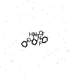 O=C1NCc2c(Oc3ccccc3)cccc2N1c1c(F)cccc1F